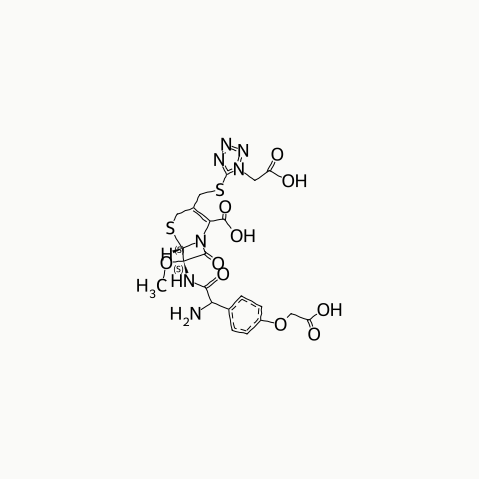 CO[C@@]1(NC(=O)C(N)c2ccc(OCC(=O)O)cc2)C(=O)N2C(C(=O)O)=C(CSc3nnnn3CC(=O)O)CS[C@H]21